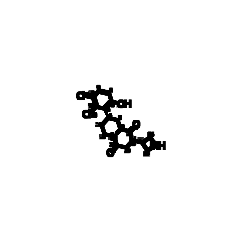 O=C1C2C[C@@H](c3c(O)ccc(Cl)c3Cl)CCN2C(=O)CN1C1CNC1